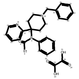 CCC(=O)N(c1ccccc1)C1(c2ccccn2)CCN(Cc2ccccc2)CC1.O=C(O)C(=O)O